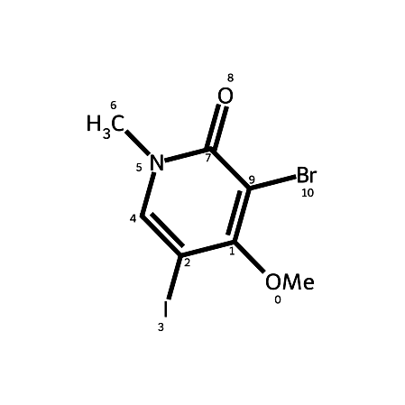 COc1c(I)cn(C)c(=O)c1Br